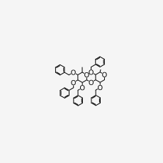 CC1OCC(OCc2ccccc2)C(OC2OC(C)C(OCc3ccccc3)C(OCc3ccccc3)C2OCc2ccccc2)C1OCc1ccccc1